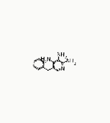 Nc1ncc(Cc2ccccc2)c(N)c1N